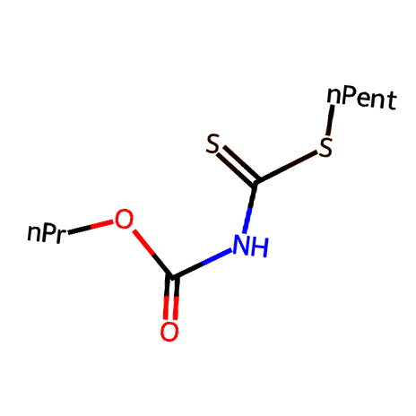 CCCCCSC(=S)NC(=O)OCCC